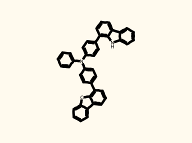 c1ccc(N(c2ccc(-c3cccc4c3[nH]c3ccccc34)cc2)c2ccc(-c3cccc4c3oc3ccccc34)cc2)cc1